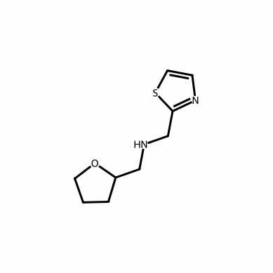 c1csc(CNCC2CCCO2)n1